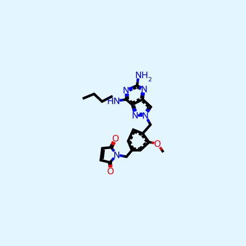 CCCCNc1nc(N)nc2cn(Cc3ccc(CN4C(=O)C=CC4=O)cc3OC)nc12